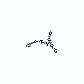 CC(C)(C)OC(=O)COCCOCCN1CCN(c2ccc(C(=O)c3c(-c4ccc(OCc5ccccc5)cc4)sc4cc(OCc5ccccc5)ccc34)cc2)CC1